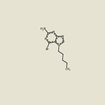 CCCCCn1cnc2nc(N)nc(Br)c21